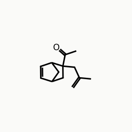 C=C(C)CC1(C(C)=O)CC2C=CC1C2